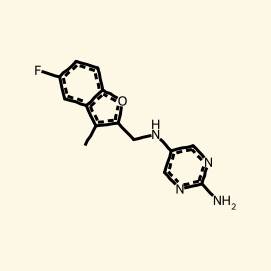 Cc1c(CNc2cnc(N)nc2)oc2ccc(F)cc12